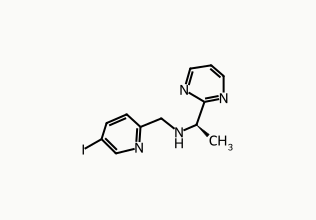 C[C@@H](NCc1ccc(I)cn1)c1ncccn1